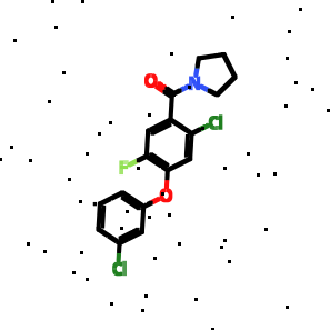 O=C(c1cc(F)c(Oc2c[c]cc(Cl)c2)cc1Cl)N1CCCC1